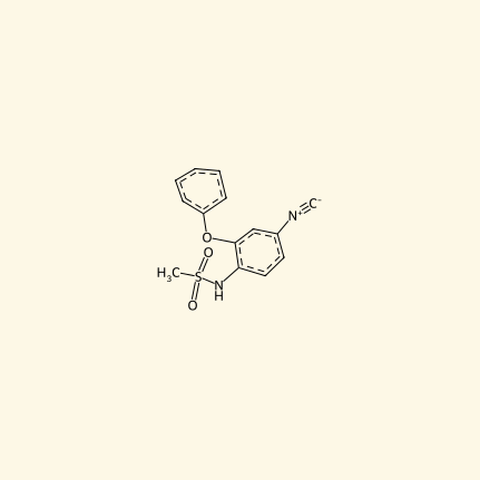 [C-]#[N+]c1ccc(NS(C)(=O)=O)c(Oc2ccccc2)c1